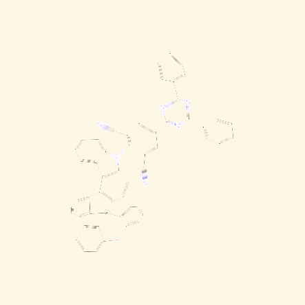 N#Cc1cc(-c2nc(-c3ccccc3)nc(-c3ccccc3)n2)cc(C#N)c1-n1c2ccccc2c2c3c(ccc21)C1(c2ccccc2Oc2ccccc21)c1ccccc1-3